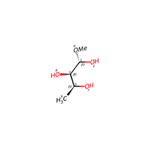 CO[C@H](O)[C@H](O)[C@H](C)O